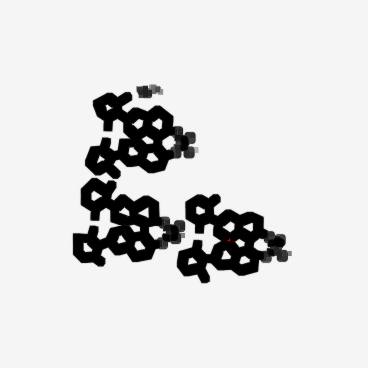 Cc1cccc(C)c1-c1ccc2c3c(ccc2c1)OP(=O)([O-])Oc1ccc2cc(-c4c(C)cccc4C)ccc2c1-3.Cc1cccc(C)c1-c1ccc2c3c(ccc2c1)OP(=O)([O-])Oc1ccc2cc(-c4c(C)cccc4C)ccc2c1-3.Cc1cccc(C)c1-c1ccc2c3c(ccc2c1)OP(=O)([O-])Oc1ccc2cc(-c4c(C)cccc4C)ccc2c1-3.[Yb+3]